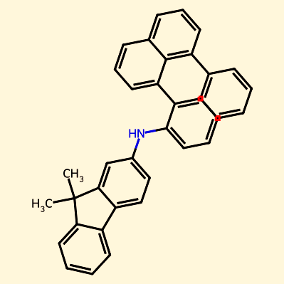 CC1(C)c2ccccc2-c2ccc(Nc3ccccc3-c3cccc4cccc(-c5ccccc5)c34)cc21